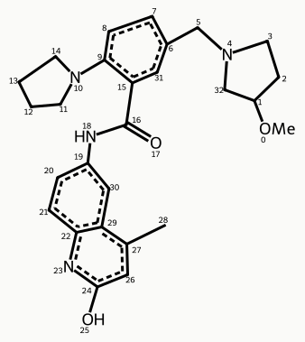 COC1CCN(Cc2ccc(N3CCCC3)c(C(=O)Nc3ccc4nc(O)cc(C)c4c3)c2)C1